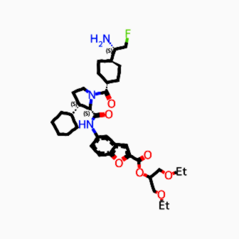 CCOCC(COCC)OC(=O)c1cc2cc(NC(=O)[C@@H]3[C@H](C4CCCCC4)CCN3C(=O)[C@H]3CC[C@H]([C@H](N)CF)CC3)ccc2o1